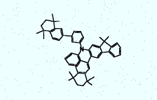 CC1(C)CCC(C)(C)c2cc(-c3cccc(N(c4ccccc4)c4cc5c(cc4-c4ccc6c(c4)C(C)(C)CCC6(C)C)-c4ccccc4C5(C)C)c3)ccc21